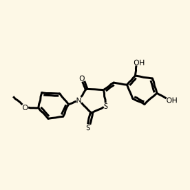 COc1ccc(N2C(=O)/C(=C/c3ccc(O)cc3O)SC2=S)cc1